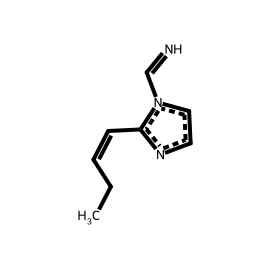 CC/C=C\c1nccn1C=N